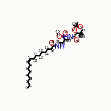 CCCCCCCC/C=C\CCCCCCCC(=O)NCCC(CNC(=O)[C@H]1OC(C)(C)OCC1(C)C)C(=O)OC